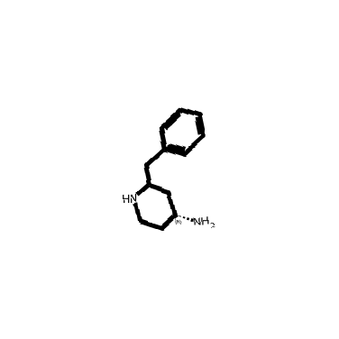 N[C@@H]1CCNC(Cc2ccccc2)C1